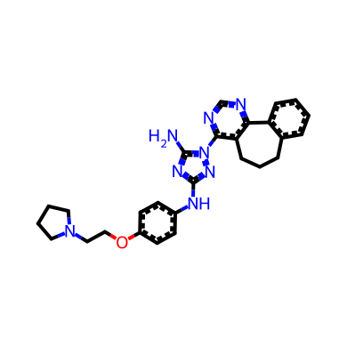 Nc1nc(Nc2ccc(OCCN3CCCC3)cc2)nn1-c1ncnc2c1CCCc1ccccc1-2